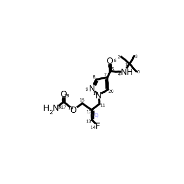 CC(C)(C)NC(=O)c1cnn(C/C(=C\F)COC(N)=O)c1